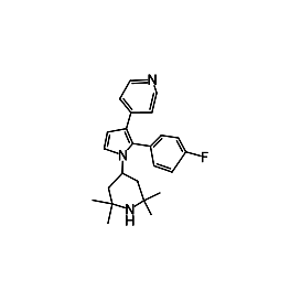 CC1(C)CC(n2ccc(-c3ccncc3)c2-c2ccc(F)cc2)CC(C)(C)N1